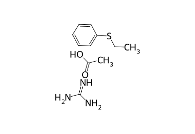 CC(=O)O.CCSc1ccccc1.N=C(N)N